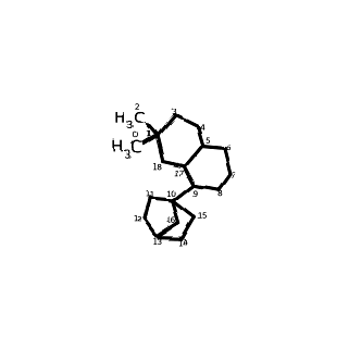 CC1(C)CCC2CCC[C](C34CCC(CC3)C4)C2C1